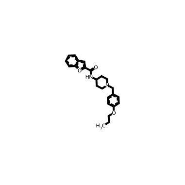 CCCOc1ccc(CN2CCC(NC(=O)c3cc4ccccc4o3)CC2)cc1